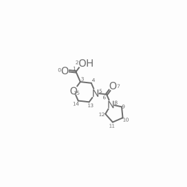 O=C(O)C1CN(C(=O)N2CCCC2)CCO1